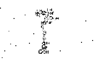 Cc1ncsc1-c1ccc([C@H](C)NC(=O)[C@@H]2C[C@@H](O)CN2C(=O)[C@@H](c2cc(OCCN3CCC(N4CC(c5cc6cc(-c7ccccc7O)nnc6[nH]5)C4)C3)no2)C(C)C)cc1